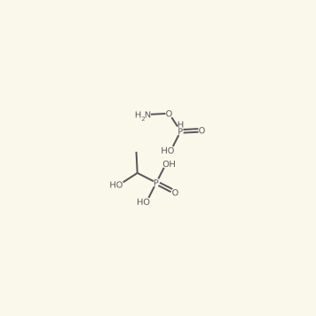 CC(O)P(=O)(O)O.NO[PH](=O)O